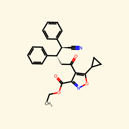 CCOC(=O)c1noc(C2CC2)c1C(=O)C[C@H](c1ccccc1)[C@H](C#N)c1ccccc1